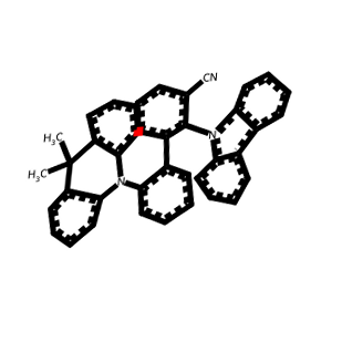 CC1(C)c2ccccc2N(c2ccccc2-c2cccc(C#N)c2-n2c3ccccc3c3ccccc32)c2ccccc21